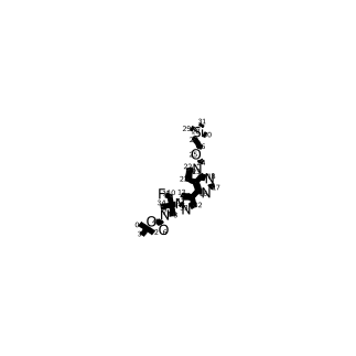 CC(C)(C)OC(=O)N1CC(CF)(n2cc(-c3ncnc4c3ccn4COCC[Si](C)(C)C)cn2)C1